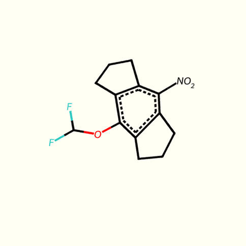 O=[N+]([O-])c1c2c(c(OC(F)F)c3c1CCC3)CCC2